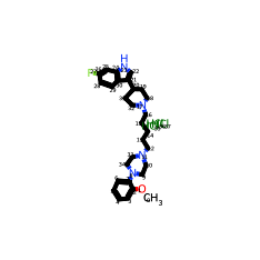 COc1ccccc1N1CCN(CCCCCN2CCC(c3c[nH]c4cc(F)ccc34)CC2)CC1.Cl.Cl.Cl